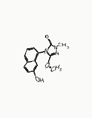 COc1nn(C)c(=O)n1-c1cccc2ccc(O)cc12